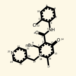 CCCCc1c(C(=O)Nc2ccccc2Cl)c(=O)cc(C)n1Cc1ccncc1